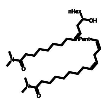 CCCCC/C=C\C/C=C\CCCCCCCC(=O)N(C)C.CCCCCC[C@@H](O)C/C=C\CCCCCCCC(=O)N(C)C